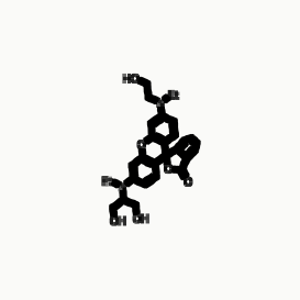 CCN(CCO)c1ccc2c(c1)Oc1cc(N(CC)C(CO)CO)ccc1C21OC(=O)c2ccccc21